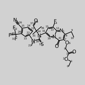 CCOC(=O)COc1c(CC)nc2c(F)cc(N(C(=S)N(C)c3ccc(C#N)c(C(F)(F)F)c3)C(C)(C)C=O)cn2c1=O